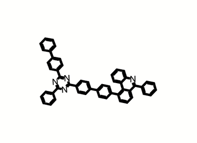 c1ccc(-c2ccc(-c3nc(-c4ccccc4)nc(-c4ccc(-c5ccc(-c6cccc7c(-c8ccccc8)nc8ccccc8c67)cc5)cc4)n3)cc2)cc1